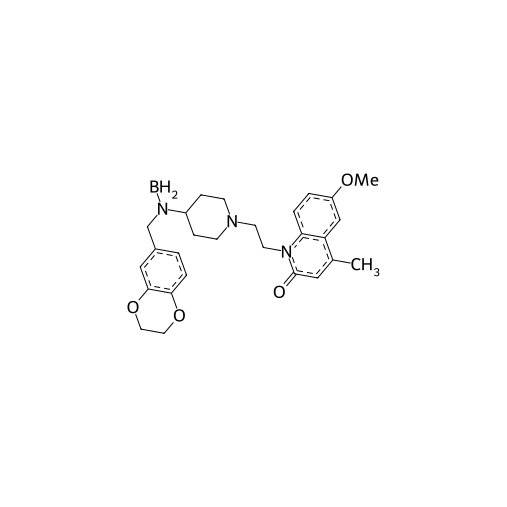 BN(Cc1ccc2c(c1)OCCO2)C1CCN(CCn2c(=O)cc(C)c3cc(OC)ccc32)CC1